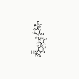 FC(F)(F)c1ccc(CN2C=C(c3ccc4cn[nH]c4c3)C=CC2I)cc1